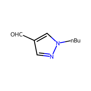 CCCCn1cc(C=O)cn1